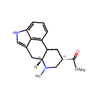 COC(=O)[C@H]1CC2c3cccc4[nH]cc(c34)C[C@H]2N(C#N)C1